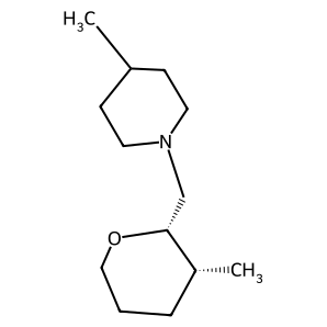 CC1CCN(C[C@H]2OCCC[C@H]2C)CC1